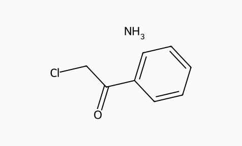 N.O=C(CCl)c1ccccc1